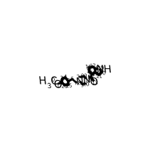 COc1ccc(CCN2CCN(C(=O)c3cccc4[nH]ccc34)CC2)cc1